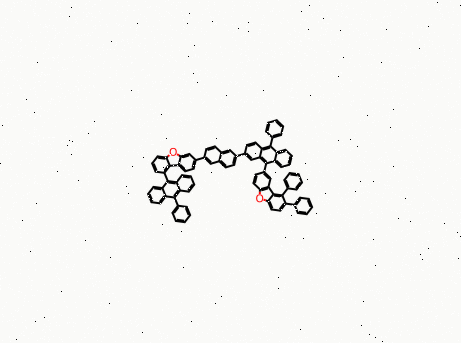 c1ccc(-c2ccc3oc4ccc(-c5c6ccccc6c(-c6ccccc6)c6ccc(-c7ccc8cc(-c9ccc%10c(c9)oc9cccc(-c%11c%12ccccc%12c(-c%12ccccc%12)c%12ccccc%11%12)c9%10)ccc8c7)cc56)cc4c3c2-c2ccccc2)cc1